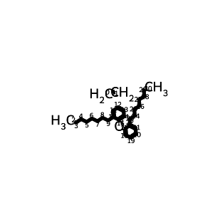 C=C.CCCCCCCCc1ccccc1Oc1ccccc1CCCCCCCC